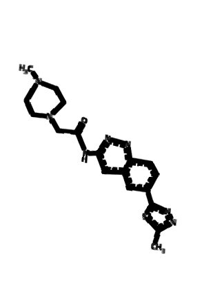 Cc1nnc(-c2ccc3nnc(NC(=O)CN4CCN(C)CC4)cc3c2)s1